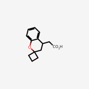 O=C(O)CC1CC2(CCC2)Oc2ccccc21